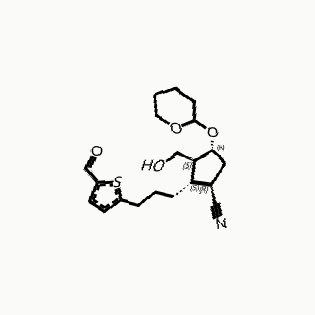 N#C[C@@H]1C[C@@H](OC2CCCCO2)[C@H](CO)[C@H]1CCCc1ccc(C=O)s1